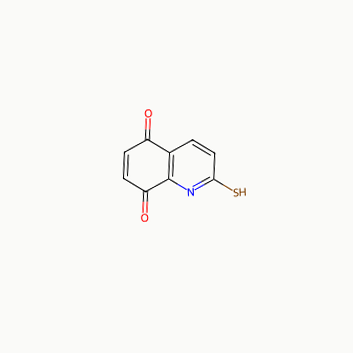 O=C1C=CC(=O)c2nc(S)ccc21